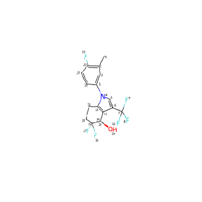 Cc1cc(-n2cc(C(F)(F)F)c3c2CCC(F)(F)[C@@H]3O)ccc1F